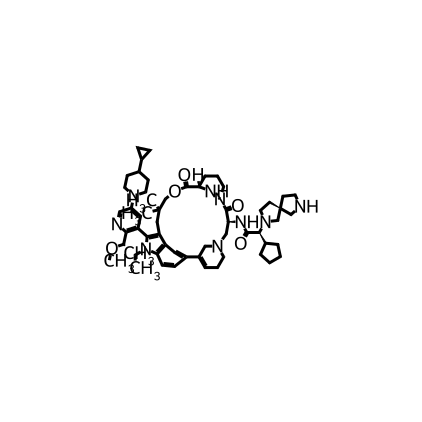 CCn1c(-c2cc(N3CCC(C4CC4)CC3)cnc2[C@H](C)OC)c2c3cc(ccc31)C1=CCCN(C1)C[C@H](NC(=O)[C@H](C1CCCC1)N1CC[C@]3(CCNC3)C1)C(=O)N1CCC[C@H](N1)C(=O)OCC(C)(C)C2